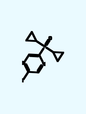 O=P(c1cnc(I)cn1)(C1CC1)C1CC1